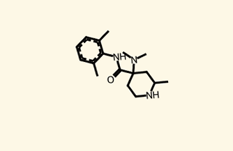 Cc1cccc(C)c1NC(=O)C1(N(C)C)CCNC(C)C1